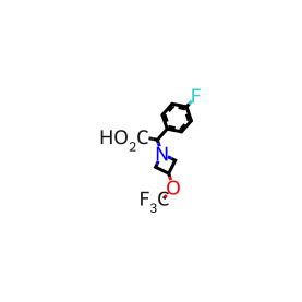 O=C(O)C(c1ccc(F)cc1)N1CC(OC(F)(F)F)C1